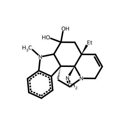 C=N[C@]12N3CC=C[C@@]1(CC)CC(O)(O)C1N(C)c4ccccc4[C@@]12CC3